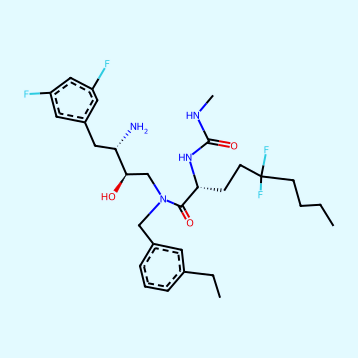 CCCCC(F)(F)CC[C@@H](NC(=O)NC)C(=O)N(Cc1cccc(CC)c1)C[C@@H](O)[C@@H](N)Cc1cc(F)cc(F)c1